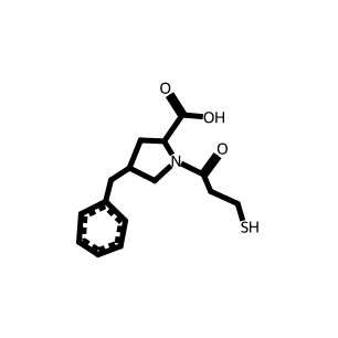 O=C(O)C1CC(Cc2ccccc2)CN1C(=O)CCS